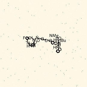 CN[C@H](C)C(=O)N[C@@H](C(=O)N1Cc2cc(OCCOCCOCCC(=O)N(C)CCN3C[C@H](C)Oc4ccc(F)cc4[C@H](C)Nc4ccn5ncc(c5n4)C3=O)ccc2C[C@@H]1C(=O)N[C@H]1CCCc2ccccc21)C(C)(C)C